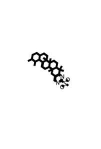 CC1CCC2CCC3(C)C(=CCC4C5(C)Cc6cnc(S(C)(=O)=O)nc6C(C)(C)C5CCC43C)C2C1C